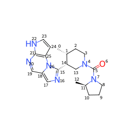 C[C@@H]1CCN(C(=O)N2CCC[C@H]2C)C[C@@H]1c1ncc2cnc3[nH]ccc3n12